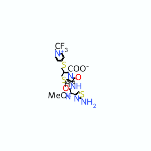 CO/N=C(\C(=O)N[C@@H]1C(=O)N2C(C(=O)[O-])=C(CSc3cc[n+](CC(F)(F)F)cc3)CS[C@H]12)c1csc(N)n1